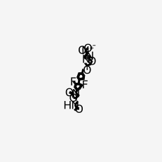 CC(=O)NC[C@H]1CN(c2cc(F)c(-c3ccc(CO[C@@H]4COc5nc([N+](=O)[O-])cn5C4)cc3)c(F)c2)C(=O)O1